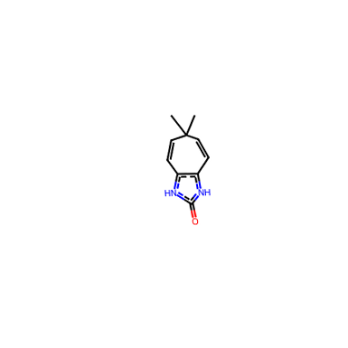 CC1(C)C=Cc2[nH]c(=O)[nH]c2C=C1